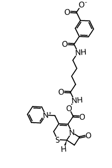 O=C(CCCCNC(=O)c1cccc(C(=O)[O-])c1)NOC(=O)C1=C(C[n+]2ccccc2)CS[C@H]2CC(=O)N12